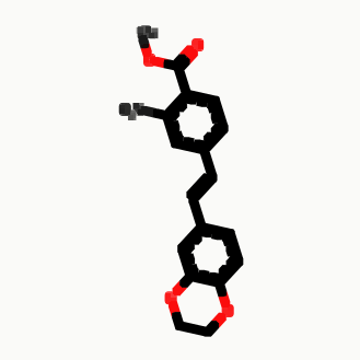 CC(C)(C)OC(=O)c1ccc(C=Cc2ccc3c(c2)OCCO3)cc1[N+](=O)[O-]